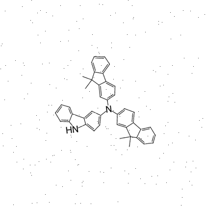 CC1(C)c2ccccc2-c2ccc(N(c3ccc4c(c3)C(C)(C)c3ccccc3-4)c3ccc4[nH]c5ccccc5c4c3)cc21